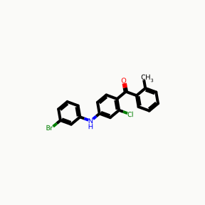 Cc1ccccc1C(=O)c1ccc(Nc2cccc(Br)c2)cc1Cl